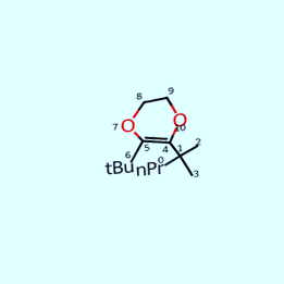 CCCC(C)(C)C1=C(C(C)(C)C)OCCO1